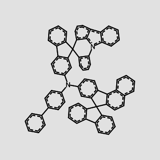 c1ccc(-c2ccc(N(c3ccc4c(c3)C3(c5ccccc5-c5ccccc53)c3ccc5ccccc5c3-4)c3ccc4c(c3)C3(c5ccccc5-4)c4ccccc4-n4c5ccccc5c5cccc3c54)cc2)cc1